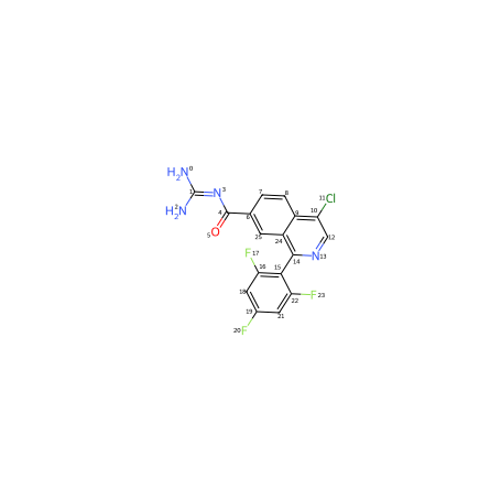 NC(N)=NC(=O)c1ccc2c(Cl)cnc(-c3c(F)cc(F)cc3F)c2c1